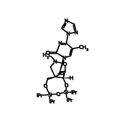 Cc1cn([C@@H]2O[C@]34CO[Si](C(C)C)(C(C)C)O[Si](C(C)C)(C(C)C)O[C@@H]3C2ON(C)C4)c(=O)nc1-n1cncn1